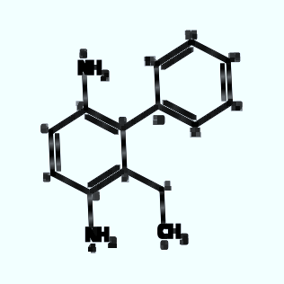 CCc1c(N)ccc(N)c1-c1ccccc1